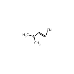 CN(C)C=CC#N